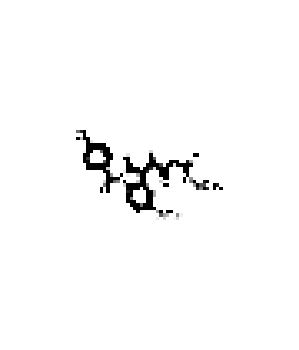 CCCCCCCCCCOC(=O)CC(=O)C(C)c1c(C)n(C(=O)c2ccc(Cl)cc2)c2ccc(OC)cc12